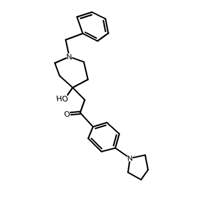 O=C(CC1(O)CCN(Cc2ccccc2)CC1)c1ccc(N2CCCC2)cc1